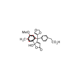 COc1ccc(C2(O)OC(=O)C=C2C(C2=COCO2)(c2ccc(C)cc2)c2ccc(CC(=O)O)cc2)cc1